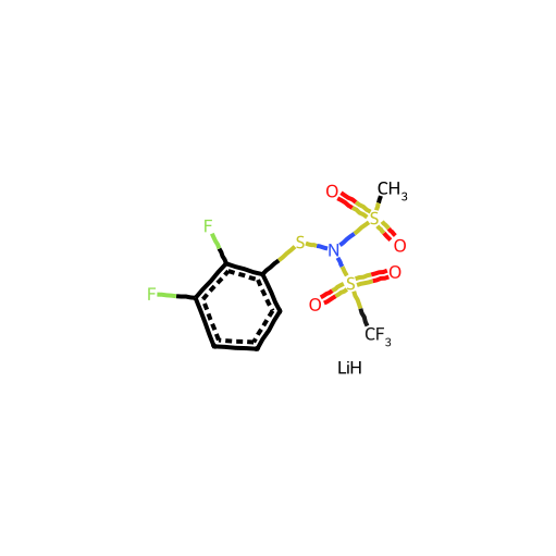 CS(=O)(=O)N(Sc1cccc(F)c1F)S(=O)(=O)C(F)(F)F.[LiH]